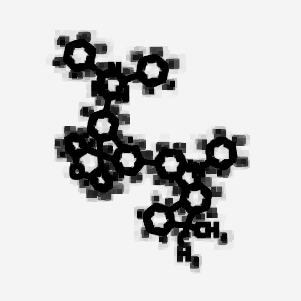 CC1(C)c2ccccc2-c2c1ccc1c2c2cc(-c3ccc4c(c3)-c3cc(-c5nc(-c6ccccc6)nc(-c6ccccc6)n5)ccc3C43c4ccccc4Oc4ccccc43)ccc2n1-c1ccccc1